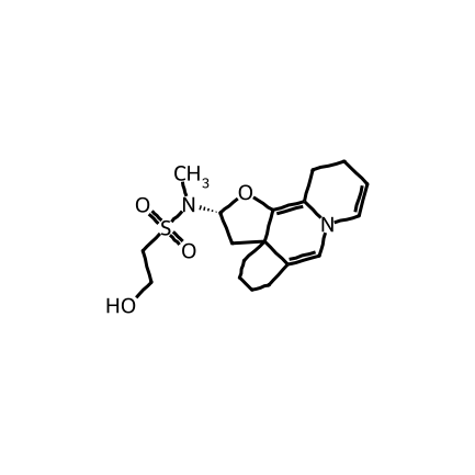 CN([C@H]1CC23CCCCC2=CN2C=CCCC2=C3O1)S(=O)(=O)CCO